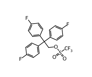 O=S(=O)(OCC(c1ccc(F)cc1)(c1ccc(F)cc1)c1ccc(F)cc1)C(F)(F)F